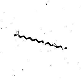 CNCCCCCCCCOCCOCCOC